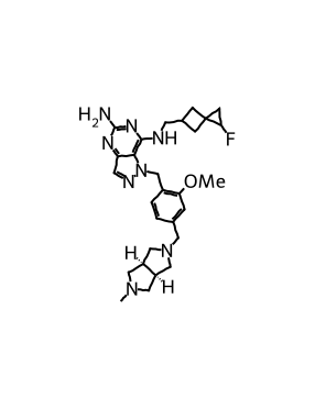 COc1cc(CN2C[C@H]3CN(C)C[C@H]3C2)ccc1Cn1ncc2nc(N)nc(NCC3CC4(C3)CC4F)c21